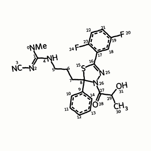 CNC(=NC#N)NCCCC1(c2ccccc2)SC(c2cc(F)ccc2F)=NN1C(=O)C(C)O